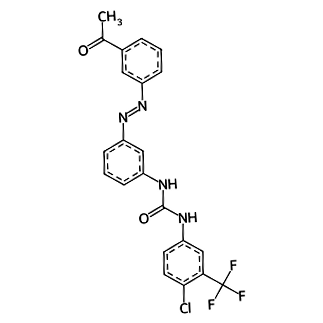 CC(=O)c1cccc(N=Nc2cccc(NC(=O)Nc3ccc(Cl)c(C(F)(F)F)c3)c2)c1